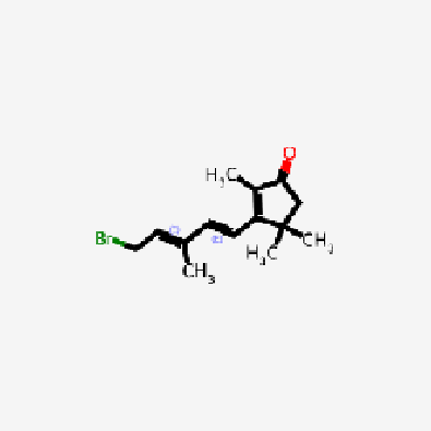 CC1=C(/C=C/C(C)=C/CBr)C(C)(C)CC1=O